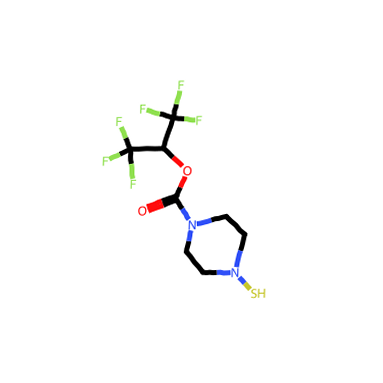 O=C(OC(C(F)(F)F)C(F)(F)F)N1CCN(S)CC1